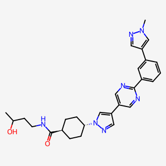 CC(O)CCNC(=O)[C@H]1CC[C@H](n2cc(-c3cnc(-c4cccc(-c5cnn(C)c5)c4)nc3)cn2)CC1